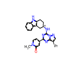 CC(C)c1cnn2c(N[C@@H]3CCc4[nH]c5ccccc5c4C3)nc(-c3ccn(C)c(=O)c3)nc12